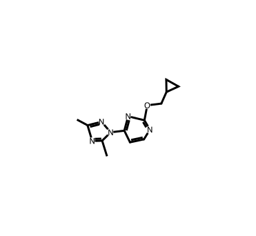 Cc1nc(C)n(-c2ccnc(OCC3CC3)n2)n1